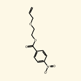 C=CCOCCOC(=O)c1ccc([N+](=O)[O-])cc1